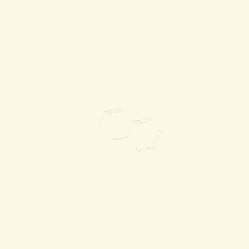 CC(C)(C)c1ccc2nnnnc2c1